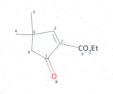 CCOC(=O)C1=CC(C)(C)CC1=O